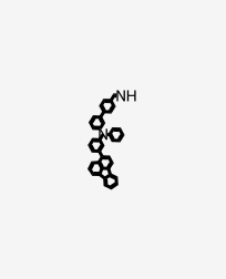 N=Cc1ccc(-c2cccc(N(c3ccccc3)c3cccc(-c4ccc5c6c(cccc46)-c4ccccc4-5)c3)c2)cc1